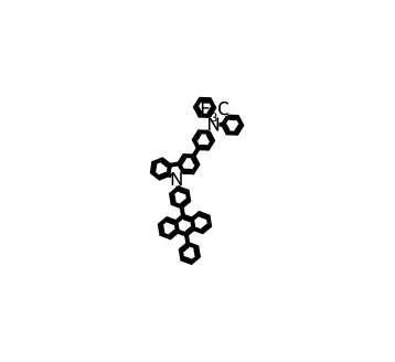 FC(F)(F)c1ccccc1N(c1ccccc1)c1ccc(-c2ccc3c(c2)c2ccccc2n3-c2ccc(-c3c4ccccc4c(-c4ccccc4)c4ccccc34)cc2)cc1